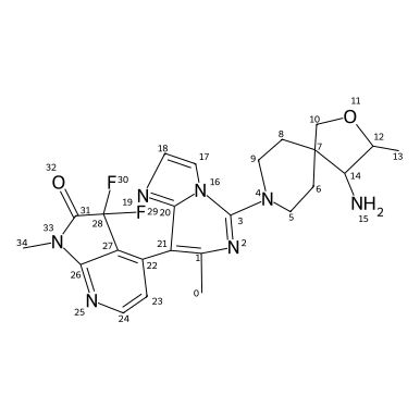 Cc1nc(N2CCC3(CC2)COC(C)C3N)n2ccnc2c1-c1ccnc2c1C(F)(F)C(=O)N2C